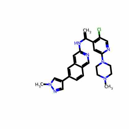 C=C(Nc1cc2cc(-c3cnn(C)c3)ccc2cn1)c1cc(N2CCN(C)CC2)ncc1Cl